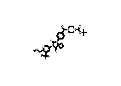 C=NCc1ncc(N2C(=O)N(c3ccc(C(=O)N4CCN(C(=O)OC(C)(C)C)CC4)cc3)C3(CCC3)C2=O)cc1C(F)(F)F